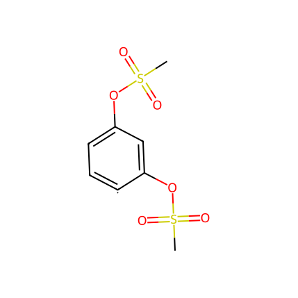 CS(=O)(=O)Oc1[c]ccc(OS(C)(=O)=O)c1